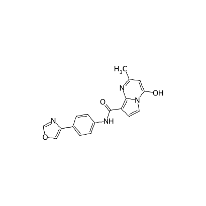 Cc1cc(O)n2ccc(C(=O)Nc3ccc(-c4cocn4)cc3)c2n1